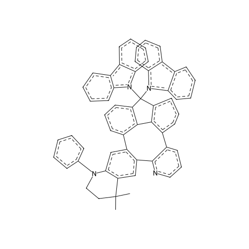 CC1(C)CCN(c2ccccc2)c2cc3c(cc21)-c1ncccc1-c1cccc2c1-c1c-3cccc1C2(n1c2ccccc2c2ccccc21)n1c2ccccc2c2ccccc21